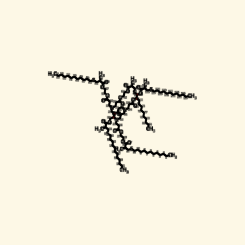 CCCCCCCCCCCCSCC(C)C(=O)OCCOC(=O)CCN(CCCN(CCC(=O)OCCOC(=O)C(C)CSCCCCCCCCCCCC)CCC(=O)OCCOC(=O)C(C)CSCCCCCCCCCCCC)CCCN(CCC(=O)OCCOC(=O)C(C)CSCCCCCCCCCCCC)CCC(=O)OCCOC(=O)C(C)CSCCCCCCCCCCCC